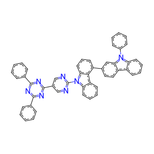 c1ccc(-c2nc(-c3ccccc3)nc(-c3cnc(-n4c5ccccc5c5c(-c6ccc7c8ccccc8n(-c8ccccc8)c7c6)cccc54)nc3)n2)cc1